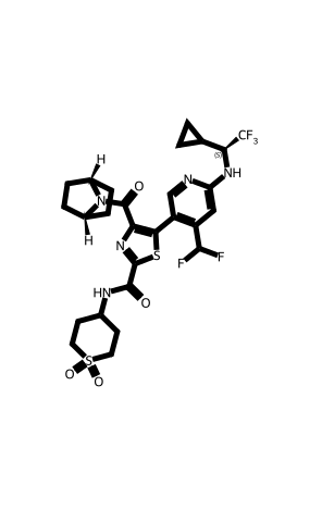 O=C(NC1CCS(=O)(=O)CC1)c1nc(C(=O)N2[C@H]3CC[C@@H]2CC3)c(-c2cnc(N[C@@H](C3CC3)C(F)(F)F)cc2C(F)F)s1